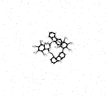 Bc1c(B)c(B)c(C(=N/Cc2cccc3oc4ccc(-c5c(B)c(B)c(B)c(B)c5B)cc4c23)/N=C(\N)n2c3ccccc3c3ccccc32)c(B)c1B